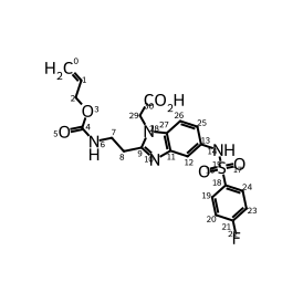 C=CCOC(=O)NCCc1nc2cc(NS(=O)(=O)c3ccc(F)cc3)ccc2n1CC(=O)O